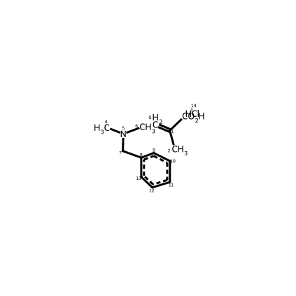 C=C(C)C(=O)O.CN(C)Cc1ccccc1.Cl